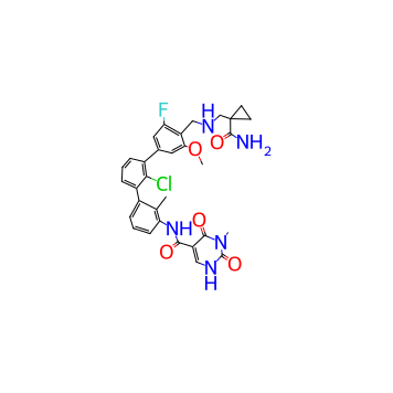 COc1cc(-c2cccc(-c3cccc(NC(=O)c4c[nH]c(=O)n(C)c4=O)c3C)c2Cl)cc(F)c1CNCC1(C(N)=O)CC1